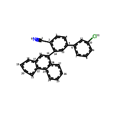 N#Cc1ccc(-c2cccc(Cl)c2)cc1-c1cc2ccccc2c2ccccc12